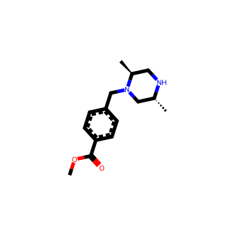 COC(=O)c1ccc(CN2C[C@@H](C)NC[C@@H]2C)cc1